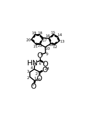 O=C1CCC(NC(=O)OCC2c3ccccc3-c3ccccc32)C(=O)O1